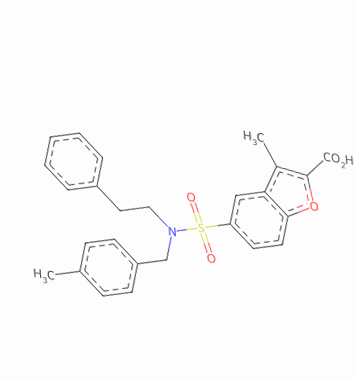 Cc1ccc(CN(CCc2ccccc2)S(=O)(=O)c2ccc3oc(C(=O)O)c(C)c3c2)cc1